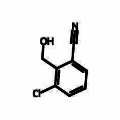 N#Cc1cccc(Cl)c1CO